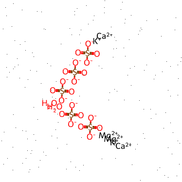 O.O.O=S(=O)([O-])[O-].O=S(=O)([O-])[O-].O=S(=O)([O-])[O-].O=S(=O)([O-])[O-].O=S(=O)([O-])[O-].[Ca+2].[Ca+2].[K+].[K+].[Mg+2].[Mg+2]